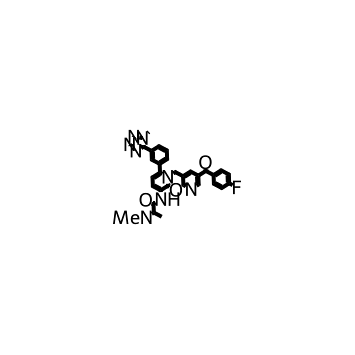 CNC(C)C(=O)Nc1ccc(-c2cccc(-c3nnnn3C)c2)n(Cc2cncc(C(=O)c3ccc(F)cc3)c2)c1=O